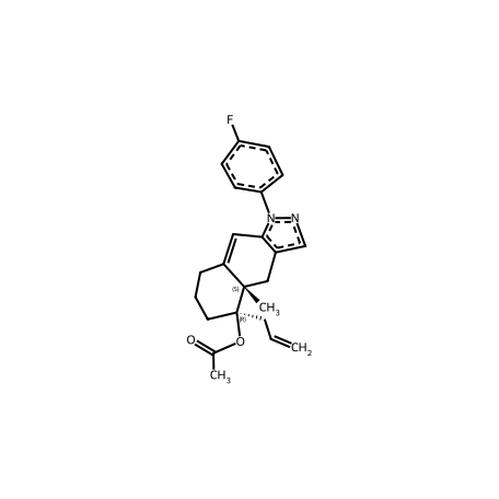 C=CC[C@]1(OC(C)=O)CCCC2=Cc3c(cnn3-c3ccc(F)cc3)C[C@@]21C